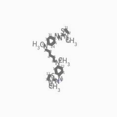 CN(CCCCCN(C)c1ccc(/N=N\C2SC=CN2C)cc1)c1ccc(N=NC2SC=CN2C)cc1